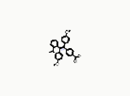 COc1ccc(/C(=C(/c2ccc(OC)cc2)c2ccccc2C(C)C)c2ccc(C(=O)O)cc2)cc1